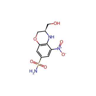 NS(=O)(=O)c1cc2c(c([N+](=O)[O-])c1)N[C@H](CO)CO2